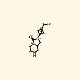 O=C1N2CCNCC2CN1C12CC(CF)(C1)C2